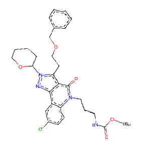 CC(C)(C)OC(=O)NCCCn1c(=O)c2c(CCOCc3ccccc3)n(C3CCCCO3)nc2c2cc(Cl)ccc21